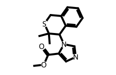 COC(=O)c1cncn1C1c2ccccc2CSC1(C)C